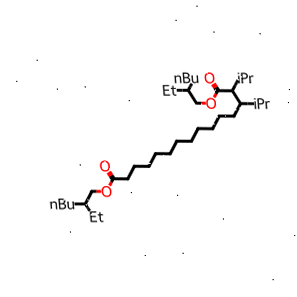 CCCCC(CC)COC(=O)CCCCCCCCCCCC(C(C)C)C(C(=O)OCC(CC)CCCC)C(C)C